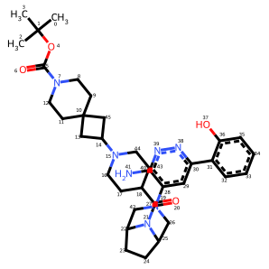 CC(C)(C)OC(=O)N1CCC2(CC1)CC(N1CCC(C(=O)N3C4CCC3CN(c3cc(-c5ccccc5O)nnc3N)C4)CC1)C2